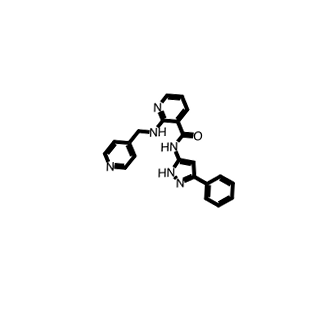 O=C(Nc1cc(-c2ccccc2)n[nH]1)c1cccnc1NCc1ccncc1